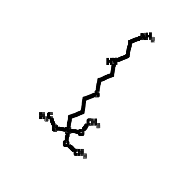 CO[Si](CCCSCCNCCN)(OC)OC